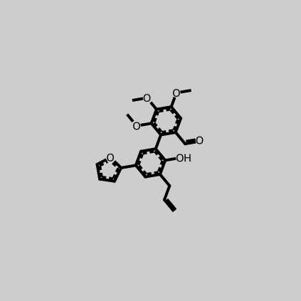 C=CCc1cc(-c2ccco2)cc(-c2c(C=O)cc(OC)c(OC)c2OC)c1O